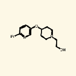 CC(C)c1ccc(OC2CCN(CCO)CC2)cn1